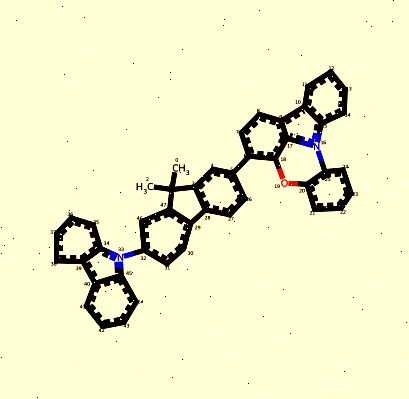 CC1(C)c2cc(-c3ccc4c5ccccc5n5c4c3Oc3ccccc3-5)ccc2-c2ccc(-n3c4ccccc4c4ccccc43)cc21